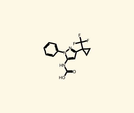 O=C(O)Nc1cc(C2(C(F)(F)F)CC2)nn1-c1ccccc1